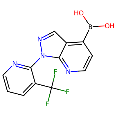 OB(O)c1ccnc2c1cnn2-c1ncccc1C(F)(F)F